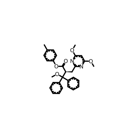 COc1cc(OC)nc(C[C@H](C(=O)Oc2ccc(C)cc2)C(OC)(c2ccccc2)c2ccccc2)n1